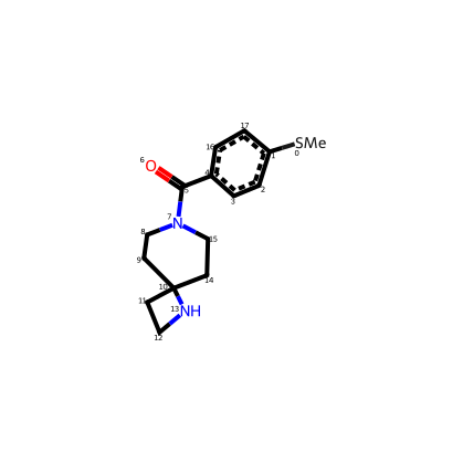 CSc1ccc(C(=O)N2CCC3(CCN3)CC2)cc1